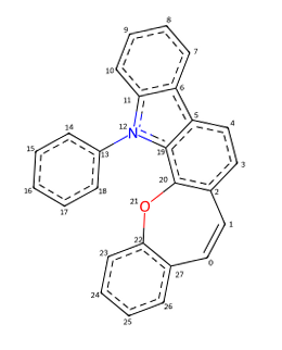 C1=Cc2ccc3c4ccccc4n(-c4ccccc4)c3c2Oc2ccccc21